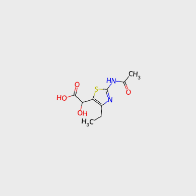 CCc1nc(NC(C)=O)sc1C(O)C(=O)O